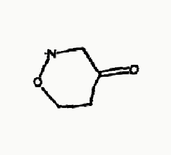 O=C1CCO[N]C1